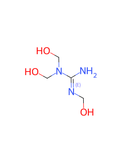 N/C(=N\CO)N(CO)CO